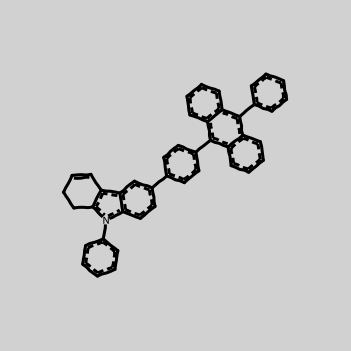 C1=Cc2c(n(-c3ccccc3)c3ccc(-c4ccc(-c5c6ccccc6c(-c6ccccc6)c6ccccc56)cc4)cc23)CC1